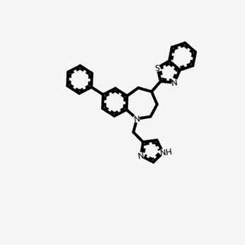 c1ccc(-c2ccc3c(c2)CC(c2nc4ccccc4s2)CCN3Cc2c[nH]cn2)cc1